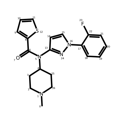 CN1CCC(N(C(=O)c2cccs2)c2ccn(-c3ccccc3F)n2)CC1